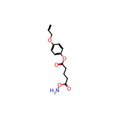 C=CCOc1ccc(OC(=O)CCCC(=O)ON)cc1